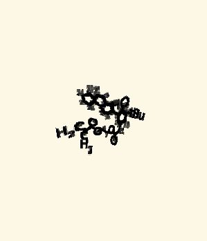 C=C(C)C(=O)OCCOC(=O)Cc1cc(-c2ccc3c(ccc4ccccc43)c2)c(O)c(C(C)(C)C)c1